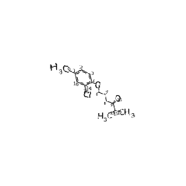 Cc1ccc(OCCCC(=O)C(C)C)c(Cl)c1